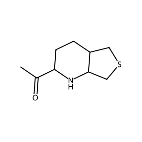 CC(=O)C1CCC2CSCC2N1